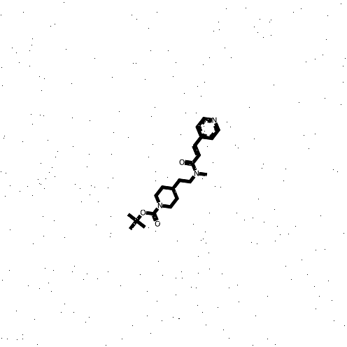 CN(CCC1CCN(C(=O)OC(C)(C)C)CC1)C(=O)C=Cc1ccncc1